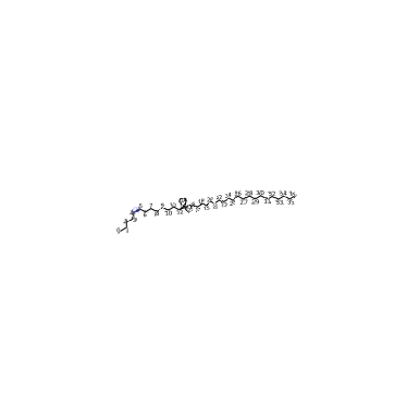 CCCC/C=C\CCCCCCCC(=O)OCCCCCCCCCCCCCCCCCCCCC